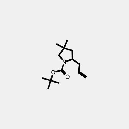 C=CCC1CC(C)(C)CN1C(=O)OC(C)(C)C